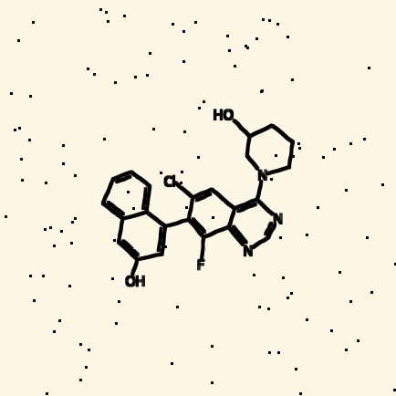 Oc1cc(-c2c(Cl)cc3c(N4CCCC(O)C4)ncnc3c2F)c2ccccc2c1